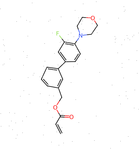 C=CC(=O)OCc1cccc(-c2ccc(N3CCOCC3)c(F)c2)c1